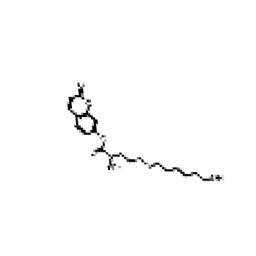 CCCC(CCCOCCCCCCO)C(=O)Oc1ccc2ccc(=O)oc2c1